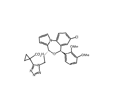 COc1cccc([C@H]2O[C@H](CCn3nnnc3C3(C(=O)O)CC3)c3cccn3-c3ccc(Cl)cc32)c1OC